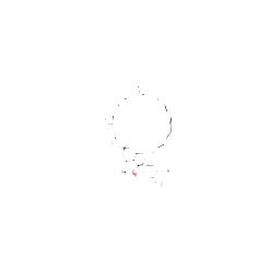 CC(C)C1CCC/C=C/C=C/C=C/C=C/C(O[C@@H]2O[C@H](C)[C@@H](O)[C@H](N)[C@@H]2O)CC2OC(O)(CC(O)CC(O)C(O)CCC(=O)O1)CC(O)C2C(=O)O